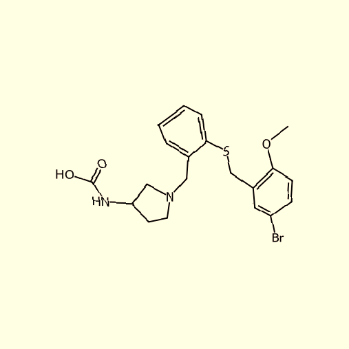 COc1ccc(Br)cc1CSc1ccccc1CN1CCC(NC(=O)O)C1